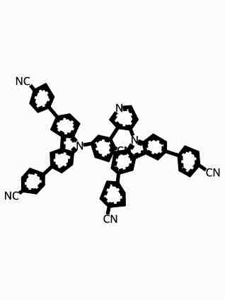 N#Cc1ccc(-c2ccc3c(c2)c2cc(-c4ccc(C#N)cc4)ccc2n3-c2ccc(C#N)c(-c3cnccc3-n3c4ccc(-c5ccc(C#N)cc5)cc4c4cc(-c5ccc(C#N)cc5)ccc43)c2)cc1